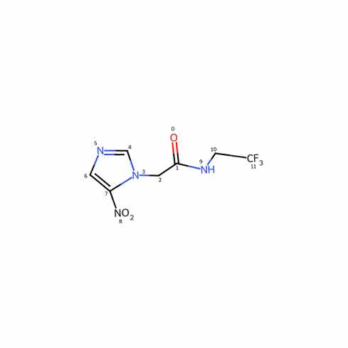 O=C(Cn1cncc1[N+](=O)[O-])NCC(F)(F)F